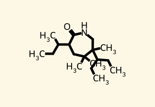 CCC(C)C1CC(C)(C)C(C)(C(CC)CC)CNC1=O